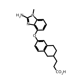 Cn1c(N)nc2c(Oc3ccc4c(c3)CCC(CCC(=O)O)C4)cccc21